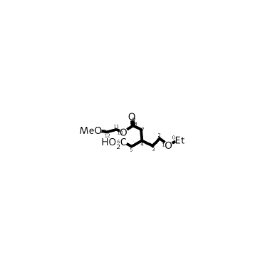 CCOCCC(CC(=O)O)CC(=O)OCCOC